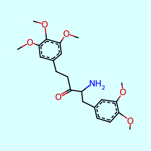 COc1ccc(CC(N)C(=O)CCc2cc(OC)c(OC)c(OC)c2)cc1OC